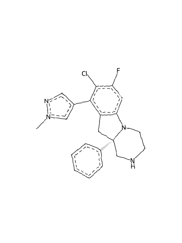 Cn1cc(-c2c(Cl)c(F)cc3c2C[C@]2(c4ccccc4)CNCCN32)cn1